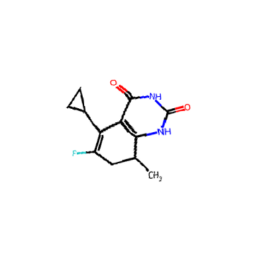 CC1CC(F)=C(C2CC2)c2c1[nH]c(=O)[nH]c2=O